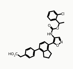 CC(OC(=O)Nc1cnoc1-c1ccc(-c2ccc(CC(=O)O)cc2)c2c1CCC2)c1ccccc1Cl